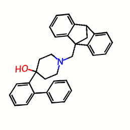 OC1(c2ccccc2-c2ccccc2)CCN(CC23CC(c4ccccc42)c2ccccc23)CC1